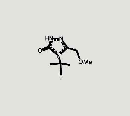 COCc1n[nH]c(=O)n1C(C)(C)I